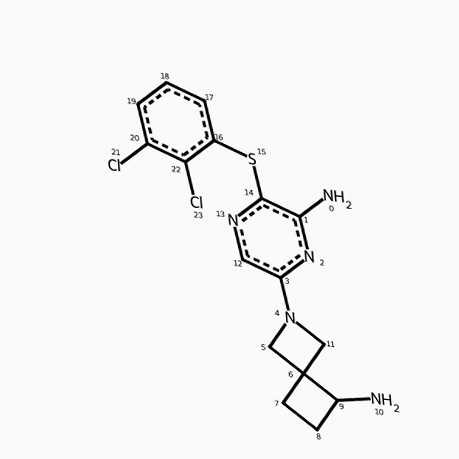 Nc1nc(N2CC3(CCC3N)C2)cnc1Sc1cccc(Cl)c1Cl